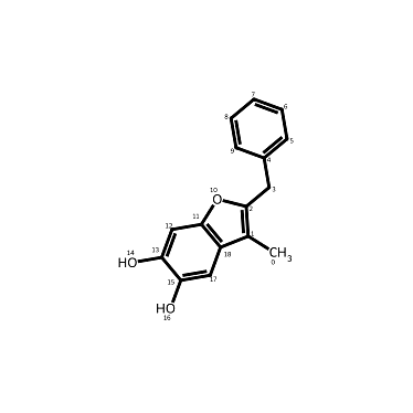 Cc1c(Cc2ccccc2)oc2cc(O)c(O)cc12